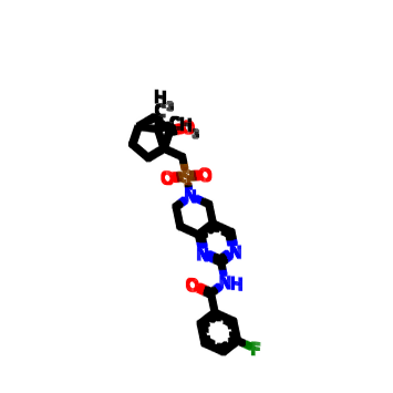 CC1(C)C2CCC1(CS(=O)(=O)N1CCc3nc(NC(=O)c4cccc(F)c4)ncc3C1)C(=O)C2